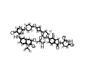 CNC(=O)COc1cc2cc(Nc3nc(N4CCC(OC5CC(N6CCN(c7ccc8c(c7F)CN(C7CCC(=O)NC7=O)C8=O)[C@@H](C)C6)C5)CC4)ncc3Cl)ccc2n(C(C)C)c1=O